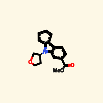 COC(=O)c1ccc2c3ccccc3n([C@@H]3CCOC3)c2c1